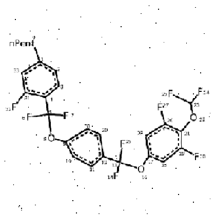 CCCCCc1ccc(C(F)(F)Oc2ccc(C(F)(F)Oc3cc(F)c(OC(F)F)c(F)c3)cc2)c(F)c1